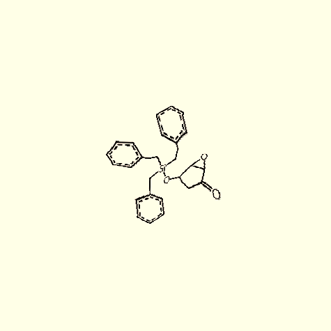 O=C1CC(O[Si](Cc2ccccc2)(Cc2ccccc2)Cc2ccccc2)C2OC12